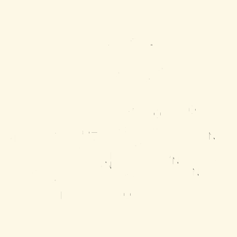 CN1CNn2cc(C(=O)NCc3c(O)cc(F)cc3F)c(=O)c(OCc3ccccc3)c2C1=O